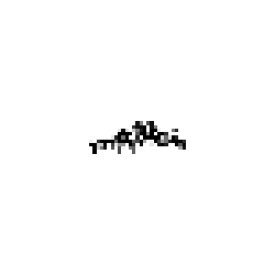 Cc1nc2ncnc(N[C@H](C)c3cccc(C(F)(F)C4CN(C(C)C)C4)c3F)c2cc1C1(O)CCN(C(=O)CN(C)C)CC1